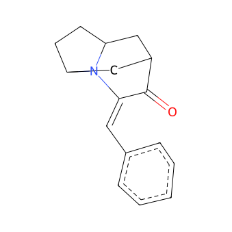 O=C1C(=Cc2ccccc2)N2C3CCC2CC1C3